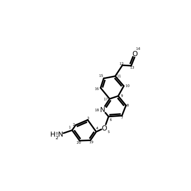 Nc1ccc(Oc2ccc3cc(CC=O)ccc3n2)cc1